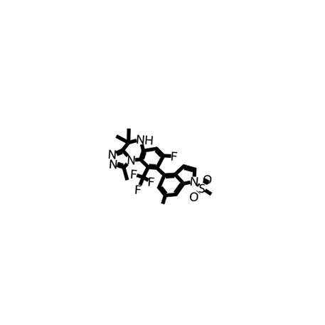 Cc1cc(-c2c(F)cc3c(c2C(F)(F)F)-n2c(C)nnc2C(C)(C)N3)c2ccn(S(C)(=O)=O)c2c1